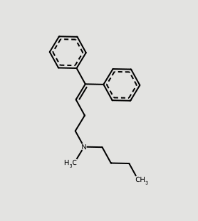 CCCCN(C)CCC=C(c1ccccc1)c1ccccc1